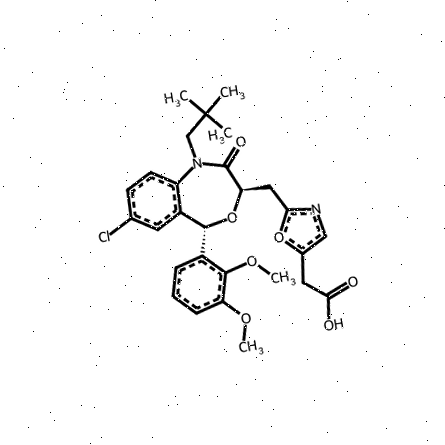 COc1cccc([C@H]2O[C@H](Cc3ncc(CC(=O)O)o3)C(=O)N(CC(C)(C)C)c3ccc(Cl)cc32)c1OC